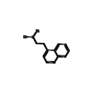 CCN(CC)CCc1cc[c]c2ccccc12